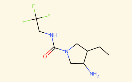 CCC1CN(C(=O)NCC(F)(F)F)CC1N